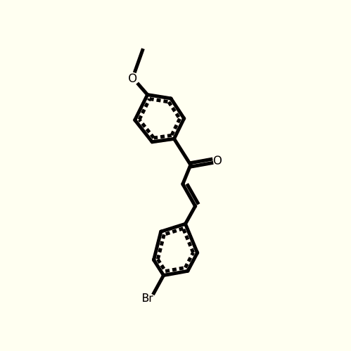 COc1ccc(C(=O)/C=C/c2ccc(Br)cc2)cc1